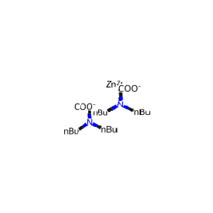 CCCCN(CCCC)C(=O)[O-].CCCCN(CCCC)C(=O)[O-].[Zn+2]